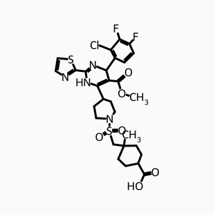 COC(=O)C1=C(C2CCN(S(=O)(=O)CC3(C)CCC(C(=O)O)CC3)CC2)NC(c2nccs2)=NC1c1ccc(F)c(F)c1Cl